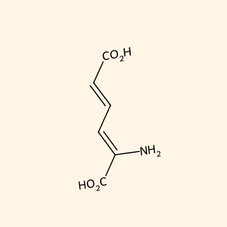 N/C(=C\C=C\C(=O)O)C(=O)O